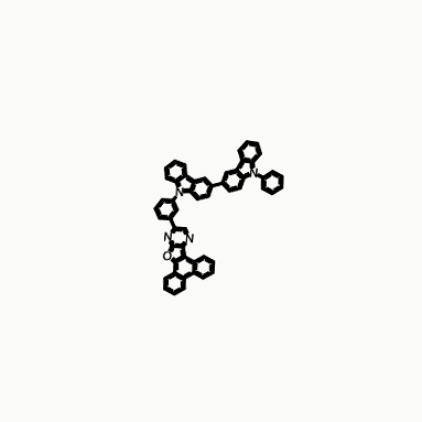 c1ccc(-n2c3ccccc3c3cc(-c4ccc5c(c4)c4ccccc4n5-c4cccc(-c5cnc6c(n5)oc5c7ccccc7c7ccccc7c65)c4)ccc32)cc1